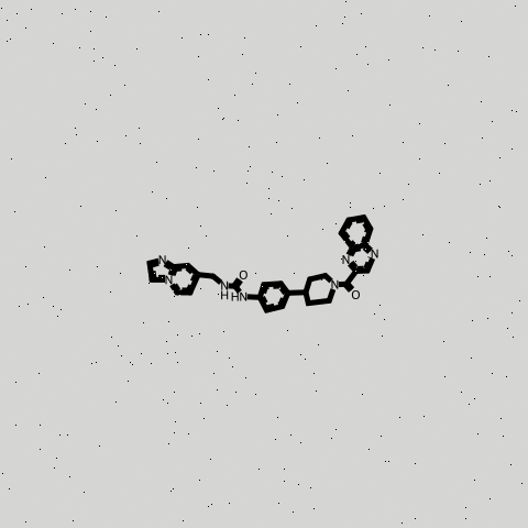 O=C(NCc1ccn2ccnc2c1)Nc1ccc(C2CCN(C(=O)c3cnc4ccccc4n3)CC2)cc1